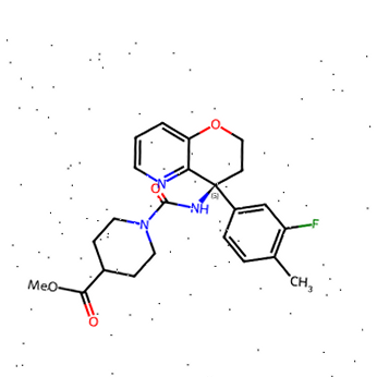 COC(=O)C1CCN(C(=O)N[C@]2(c3ccc(C)c(F)c3)CCOc3cccnc32)CC1